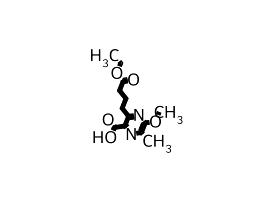 CCOC(=O)CCCc1nc(OC)c(C)nc1C(=O)O